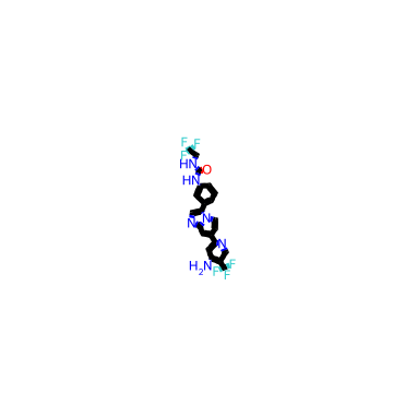 Nc1cc(-c2ccn3c(-c4cccc(NC(=O)NCC(F)(F)F)c4)cnc3c2)ncc1C(F)(F)F